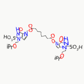 CC(C)OCCN1c2ccn(COC(=O)CCCCCCC(=O)OCn3ccc4c3C(=O)NC(S(=O)(=O)O)N4CCOC(C)C)c2C(=O)NC1S(=O)(=O)O